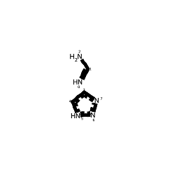 N=CN.c1c[nH]nn1